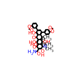 C[C@@H]1c2c(-c3ccc4c(c3)OCO4)cc(-c3cccc4c3OCO4)c(O)c2C(=O)C2=C(O)[C@@]3(O)C(=O)C(C(N)=O)=C(O)[C@H](N(C)C)[C@H]3[C@H](O)[C@H]21